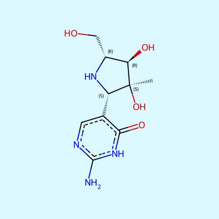 C[C@@]1(O)[C@H](O)[C@@H](CO)N[C@H]1c1cnc(N)[nH]c1=O